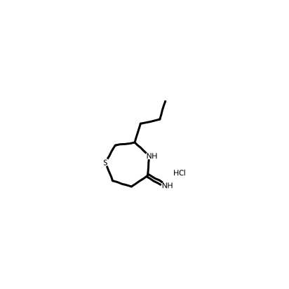 CCCC1CSCCC(=N)N1.Cl